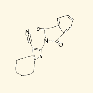 N#Cc1c(N2C(=O)c3ccccc3C2=O)sc2c1CCCC2